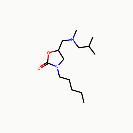 CCCCCN1CC(CN(C)CC(C)C)OC1=O